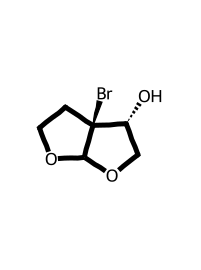 O[C@@H]1COC2OCC[C@@]21Br